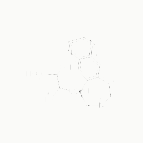 O=C(O)C(O)C(O)C(=O)O.c1cnc2cc3c(cc2n1)CCNCC3